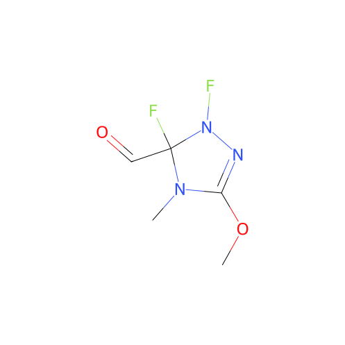 COC1=NN(F)C(F)(C=O)N1C